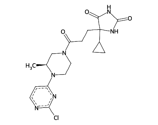 C[C@H]1CN(C(=O)CCC2(C3CC3)NC(=O)NC2=O)CCN1c1ccnc(Cl)n1